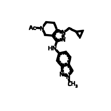 CC(=O)N1CCc2c(c(Nc3ccc4cn(C)nc4c3)nn2CC2CC2)C1